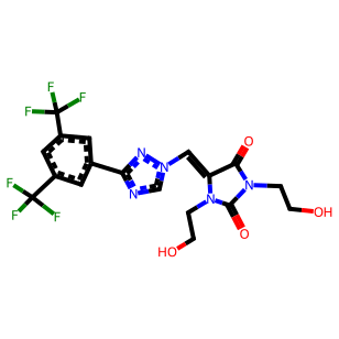 O=C1C(=Cn2cnc(-c3cc(C(F)(F)F)cc(C(F)(F)F)c3)n2)N(CCO)C(=O)N1CCO